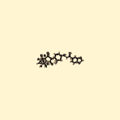 O=C(COc1ccc(N2C(=O)[C@@H]3[C@@H]4C=C[C@@H]([C@H]5C[C@@H]45)[C@@H]3C2=O)c(F)c1)c1ccc2c(c1)OCO2